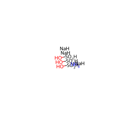 N.O=S(=O)(O)O.O=S(=O)(O)O.O=S(=O)(O)O.[NaH].[NaH].[NaH]